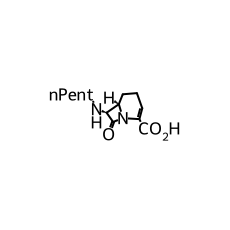 CCCCCN[C@@H]1C(=O)N2C(C(=O)O)=CCC[C@@H]12